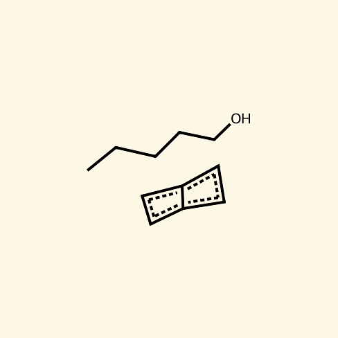 CCCCCO.c1cc2ccc1-2